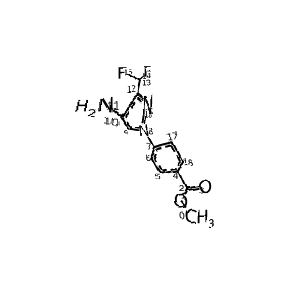 COC(=O)c1ccc(-n2cc(N)c(C(F)F)n2)cc1